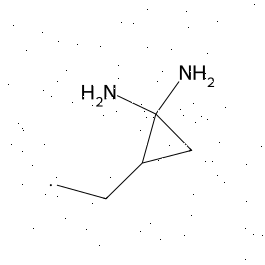 [CH2]CC1CC1(N)N